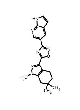 Cn1nc(-c2nc(-c3cnc4[nH]ccc4c3)no2)c2c1CC(C)(C)CC2